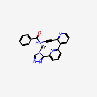 CC(C)n1cnnc1-c1cccc(-c2cccnc2C#CNC(=O)c2ccccc2)n1